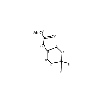 COC(=O)OC1CCC(C)(C)CC1